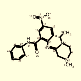 CCN1CCN(C)C/C1=N/c1ccc([N+](=O)[O-])cc1C(=O)Nc1ccccc1